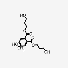 CO.O=C(OCCCO)c1ccccc1C(=O)OCCCO